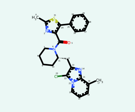 Cc1nc(C(=O)N2CCCC[C@H]2Cc2nc3c(C)cccn3c2Cl)c(-c2ccccc2)s1